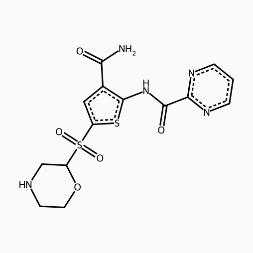 NC(=O)c1cc(S(=O)(=O)C2CNCCO2)sc1NC(=O)c1ncccn1